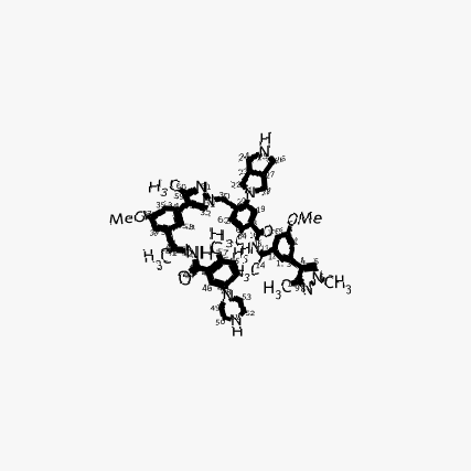 COc1cc(-c2cn(C)nc2C)cc([C@@H](C)NC(=O)c2cc(N3CC4CNCC4C3)c(Cn3cc(-c4cc(OC)cc([C@@H](C)NC(=O)c5cc(N6CCNCC6)ccc5C)c4)c(C)n3)cc2C)c1